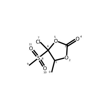 CC1OC(=O)OC1(Cl)S(C)(=O)=O